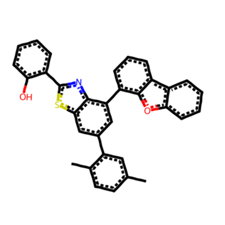 Cc1ccc(C)c(-c2cc(-c3cccc4c3oc3ccccc34)c3nc(-c4ccccc4O)sc3c2)c1